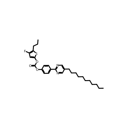 CCCCCCCCCCCc1cnc(-c2ccc(OC(=O)Oc3cc(F)c(CCC)s3)cc2)nc1